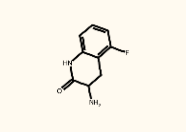 NC1Cc2c(F)cccc2NC1=O